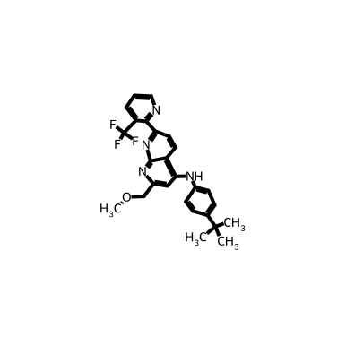 COCc1cc(Nc2ccc(C(C)(C)C)cc2)c2ccc(-c3ncccc3C(F)(F)F)nc2n1